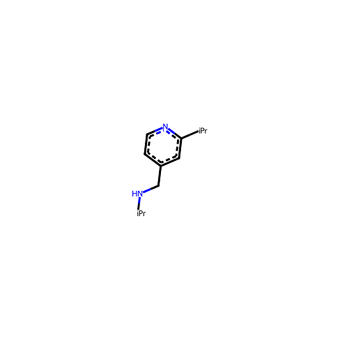 CC(C)NCc1ccnc(C(C)C)c1